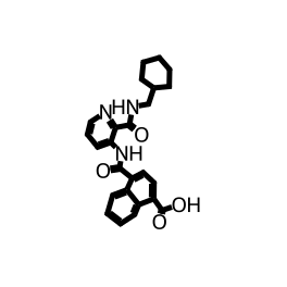 O=C(NCC1CCCCC1)c1ncccc1NC(=O)c1ccc(C(=O)O)c2ccccc12